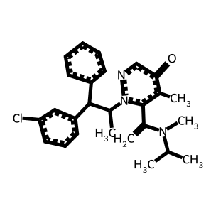 C=C(c1c(C)c(=O)cnn1C(C)C(c1ccccc1)c1cccc(Cl)c1)N(C)C(C)C